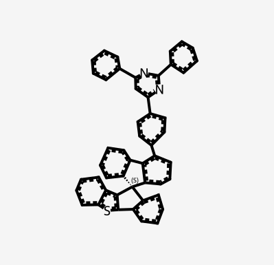 c1ccc(-c2cc(-c3ccc(-c4cccc5c4-c4ccccc4[C@@]54c5ccccc5-c5sc6ccccc6c54)cc3)nc(-c3ccccc3)n2)cc1